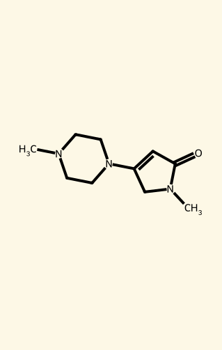 CN1CCN(C2=CC(=O)N(C)C2)CC1